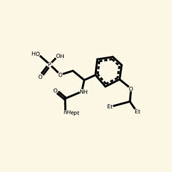 CCCCCCCC(=O)NC(COP(=O)(O)O)c1cccc(OC(CC)CC)c1